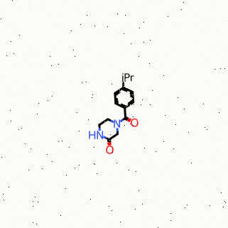 CC(C)c1ccc(C(=O)N2CCNC(=O)C2)cc1